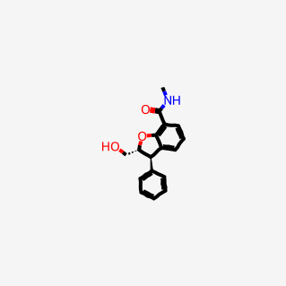 CNC(=O)c1cccc2c1O[C@@H](CO)[C@@H]2c1ccccc1